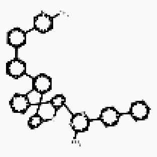 Cc1ccc(-c2cccc(-c3cccc(-c4cccc5c4-c4ccccc4C54c5ccccc5Oc5c(-c6nc(C)cc(-c7ccc(-c8ccccc8)cc7)n6)cccc54)c3)c2)cn1